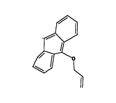 C=CCOc1c2ccccc2[c]c2ccccc12